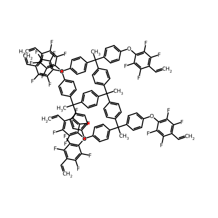 C=Cc1c(F)c(F)c(Oc2ccc(C(C)(c3ccc(Oc4c(F)c(F)c(C=C)c(F)c4F)cc3)c3ccc(C(C)(c4ccc(C(C)(c5ccc(Oc6c(F)c(F)c(C=C)c(F)c6F)cc5)c5ccc(Oc6c(F)c(F)c(C=C)c(F)c6F)cc5)cc4)c4ccc(C(C)(c5ccc(Oc6c(F)c(F)c(C=C)c(F)c6F)cc5)c5ccc(Oc6c(F)c(F)c(C=C)c(F)c6F)cc5)cc4)cc3)cc2)c(F)c1F